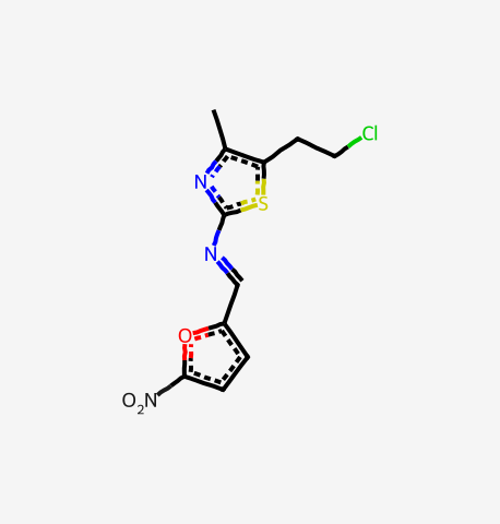 Cc1nc(/N=C/c2ccc([N+](=O)[O-])o2)sc1CCCl